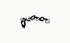 ClCc1ccc(OCC2CCC3CN(c4noc5ccccc45)CCN3C2)cc1